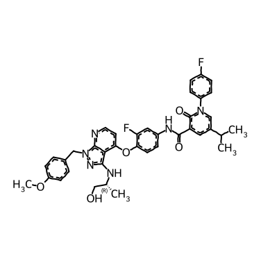 COc1ccc(Cn2nc(N[C@H](C)CO)c3c(Oc4ccc(NC(=O)c5cc(C(C)C)cn(-c6ccc(F)cc6)c5=O)cc4F)ccnc32)cc1